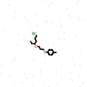 CCC(CCCBr)OCCCSc1ccc(C)cc1